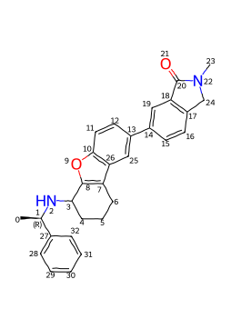 C[C@@H](NC1CCCc2c1oc1ccc(-c3ccc4c(c3)C(=O)N(C)C4)cc21)c1ccccc1